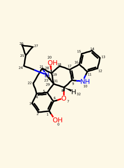 Oc1ccc2c3c1O[C@H]1c4[nH]c5ccccc5c4C[C@@]4(O)C(C2)N(CC2CC2)CCCC314